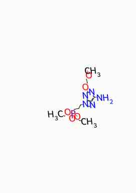 CCOP(=O)(CCCn1cnc2c(N)nc(OCCOC)nc21)OCC